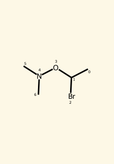 CC(Br)ON(C)C